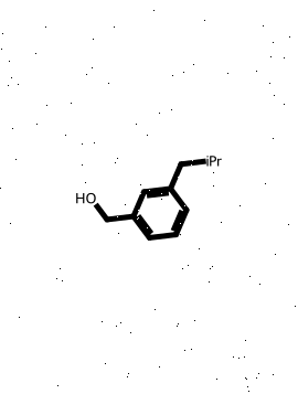 CC(C)Cc1c[c]cc(CO)c1